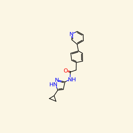 O=C(Cc1ccc(-c2cccnc2)cc1)Nc1cc(C2CC2)[nH]n1